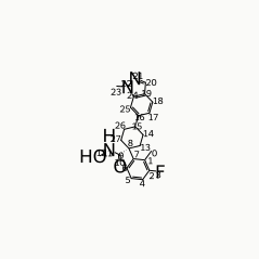 Cc1c(F)cccc1[C@]1(C(=O)NO)CC[C@H](c2ccc3cnn(C)c3c2)CC1